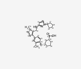 Cc1nc(-c2nnn(C)c2CNc2cnn(C3CCCC3)n2)ccc1O[C@H]1CCC[C@H](C(=O)O)C1